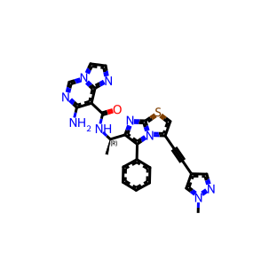 C[C@@H](NC(=O)c1c(N)ncn2ccnc12)c1nc2scc(C#Cc3cnn(C)c3)n2c1-c1ccccc1